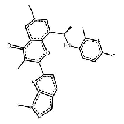 Cc1cc([C@@H](C)Nc2ccc(Cl)nc2C)c2oc(-c3ccc4cnn(C)c4n3)c(C)c(=O)c2c1